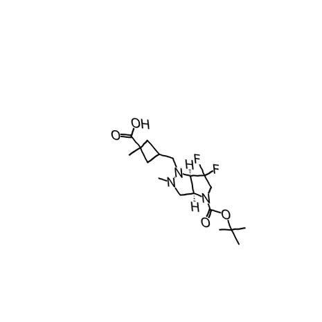 CN1C[C@H]2[C@@H](N1CC1CC(C)(C(=O)O)C1)C(F)(F)CN2C(=O)OC(C)(C)C